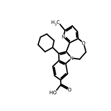 Cc1ccc2c(n1)-c1c(C3CCCCC3)c3ccc(C(=O)O)cc3n1CCO2